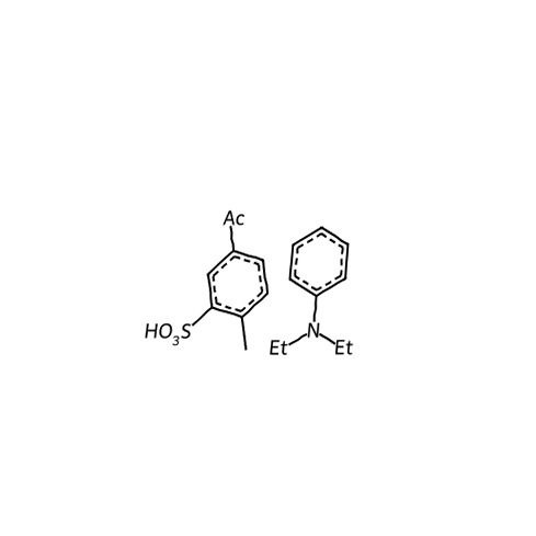 CC(=O)c1ccc(C)c(S(=O)(=O)O)c1.CCN(CC)c1ccccc1